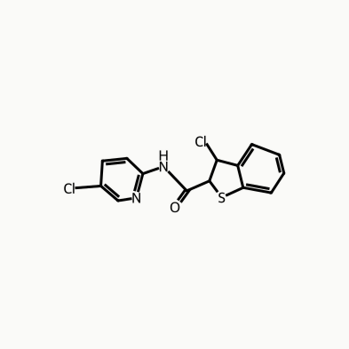 O=C(Nc1ccc(Cl)cn1)C1Sc2ccccc2C1Cl